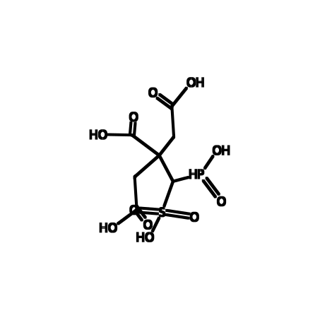 O=C(O)CC(CC(=O)O)(C(=O)O)C([PH](=O)O)S(=O)(=O)O